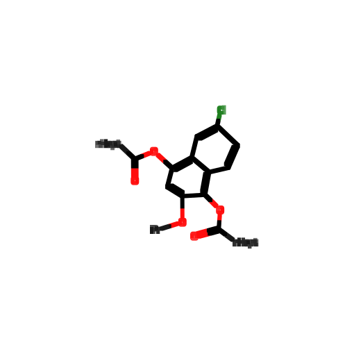 CCCCCCCC(=O)Oc1cc(OC(C)C)c(OC(=O)CCCCCCC)c2ccc(Cl)cc12